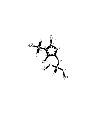 CCCOP(=S)(OCCC)Oc1nn(C)c(S(C)(=O)=O)c1Cl